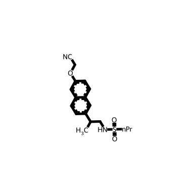 CCCS(=O)(=O)NCC(C)c1ccc2cc(OCC#N)ccc2c1